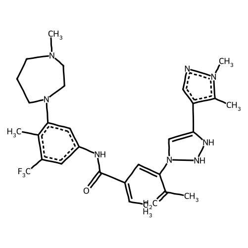 C=C(C)/C(=C\C(=C/C)C(=O)Nc1cc(N2CCCN(C)CC2)c(C)c(C(F)(F)F)c1)N1C=C(c2cnn(C)c2C)NN1